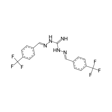 N=C(NN=Cc1ccc(C(F)(F)F)cc1)NN=Cc1ccc(C(F)(F)F)cc1